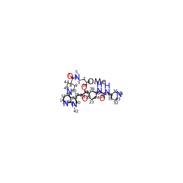 COCCCN(C)C(=O)C1CCN(c2ccnc3c2c(/C=C2\Oc4ccc(NC(=O)Nc5cccnc5)cc4C2=O)cn3C)CC1